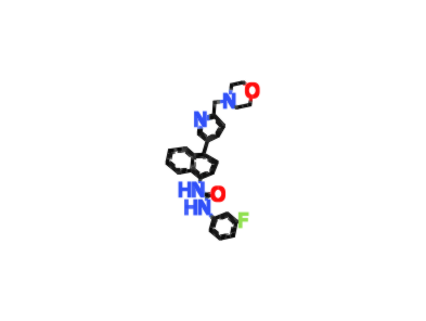 O=C(Nc1cccc(F)c1)Nc1ccc(-c2ccc(CN3CCOCC3)nc2)c2ccccc12